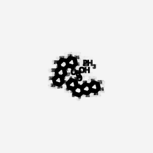 OB(Oc1cccc2ccc3cc4ccccc4cc3c12)Oc1cccc2ccc3cc4ccccc4cc3c12.P